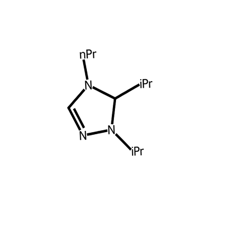 CCCN1C=NN(C(C)C)C1C(C)C